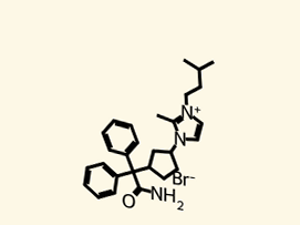 Cc1n(C2CCC(C(C(N)=O)(c3ccccc3)c3ccccc3)C2)cc[n+]1CCC(C)C.[Br-]